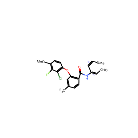 CN/C=C\C(=C/C=O)NC(=O)c1ccc(C(F)(F)F)cc1Oc1ccc(OC)c(F)c1Cl